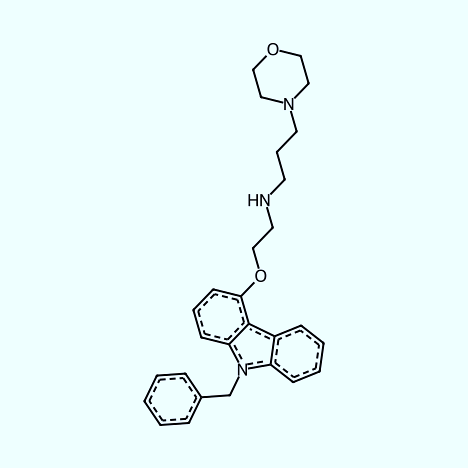 c1ccc(Cn2c3ccccc3c3c(OCCNCCCN4CCOCC4)cccc32)cc1